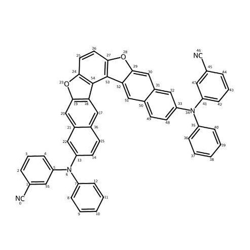 N#Cc1cccc(N(c2ccccc2)c2ccc3cc4c(cc3c2)oc2ccc3oc5cc6cc(N(c7ccccc7)c7cccc(C#N)c7)ccc6cc5c3c24)c1